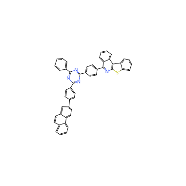 c1ccc(-c2nc(-c3ccc(-c4ccc5c(ccc6ccccc65)c4)cc3)nc(-c3ccc(-c4nc5sc6ccccc6c5c5ccccc45)cc3)n2)cc1